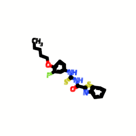 CCCCCOc1ccc(NC(=S)NC(=O)c2nc3ccccc3s2)cc1F